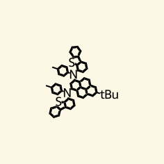 Cc1ccc(N(c2cc(N(c3ccc(C)cc3)c3cccc4c3sc3ccccc34)c3ccc4cc(C(C)(C)C)cc5ccc2c3c54)c2cccc3c2sc2ccccc23)cc1